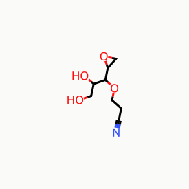 N#CCCOC(C(O)CO)C1CO1